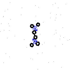 c1ccc(-n2c3ccccc3n3c4ccc(-c5ccc6c(c5)nc5n(-c7ccccc7)c7ccccc7n65)cc4nc23)cc1